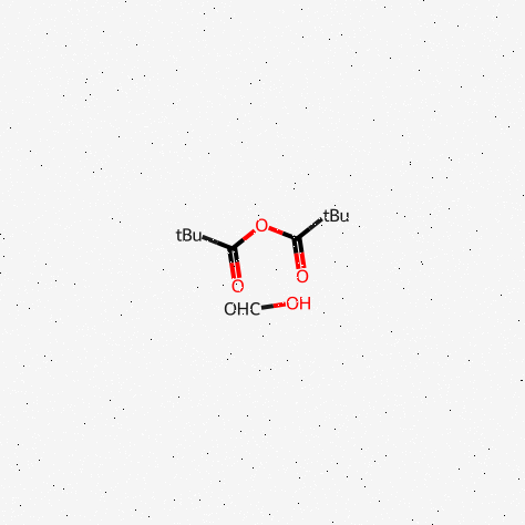 CC(C)(C)C(=O)OC(=O)C(C)(C)C.O=CO